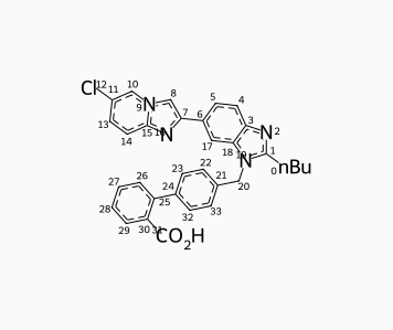 CCCCc1nc2ccc(-c3cn4cc(Cl)ccc4n3)cc2n1Cc1ccc(-c2ccccc2C(=O)O)cc1